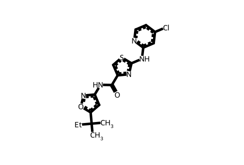 CCC(C)(C)c1cc(NC(=O)c2csc(Nc3cc(Cl)ccn3)n2)no1